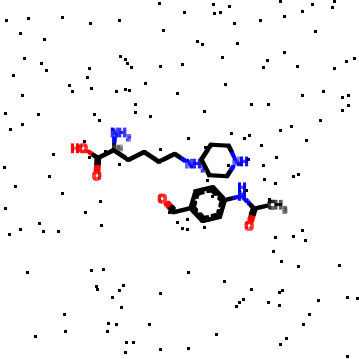 C1CCNCC1.CC(=O)Nc1ccc(C=O)cc1.NCCCC[C@H](N)C(=O)O